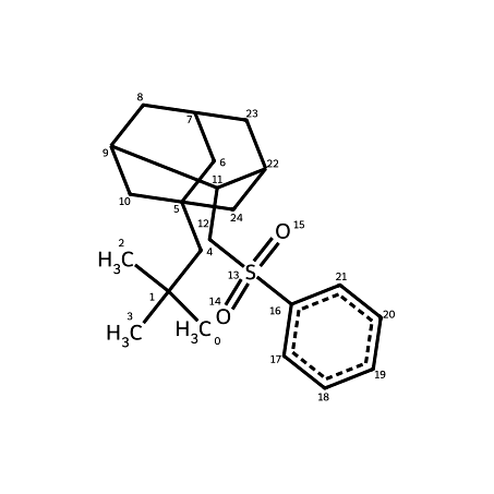 CC(C)(C)CC12CC3CC(C1)C(CS(=O)(=O)c1ccccc1)C(C3)C2